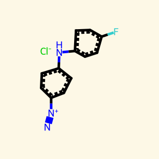 N#[N+]c1ccc(Nc2ccc(F)cc2)cc1.[Cl-]